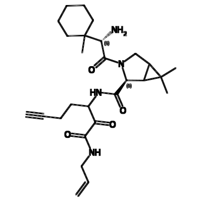 C#CCCC(NC(=O)[C@@H]1C2C(CN1C(=O)[C@@H](N)C1(C)CCCCC1)C2(C)C)C(=O)C(=O)NCC=C